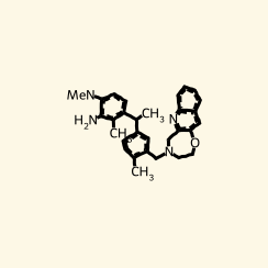 CNc1ccc(C(C)c2ccc(C)c(CN3CCOc4cc5ccccc5nc4C3)c2)c(C)c1N